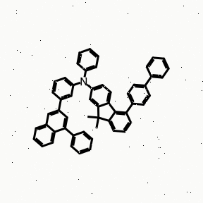 CC1(C)c2cc(N(c3ccccc3)c3cccc(-c4cc(-c5ccccc5)c5ccccc5c4)c3)ccc2-c2c(-c3ccc(-c4ccccc4)cc3)cccc21